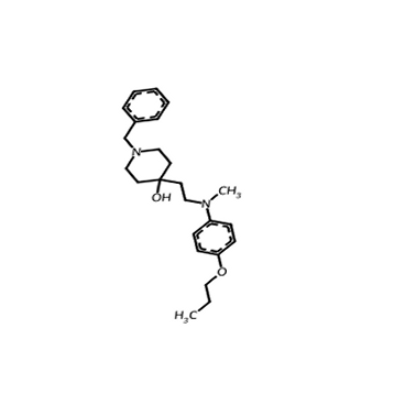 CCCOc1ccc(N(C)CCC2(O)CCN(Cc3ccccc3)CC2)cc1